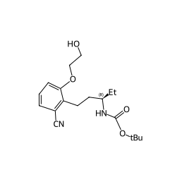 CC[C@H](CCc1c(C#N)cccc1OCCO)NC(=O)OC(C)(C)C